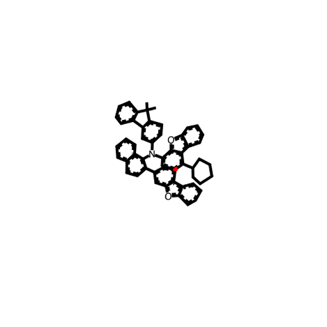 CC1(C)c2ccccc2-c2cc(N(c3c(-c4ccc5c(c4)oc4ccccc45)ccc4ccccc34)c3ccc(C4CCCCC4)c4c3oc3ccccc34)ccc21